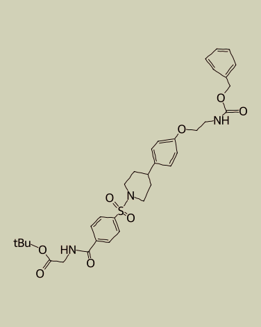 CC(C)(C)OC(=O)CNC(=O)c1ccc(S(=O)(=O)N2CCC(c3ccc(OCCNC(=O)OCc4ccccc4)cc3)CC2)cc1